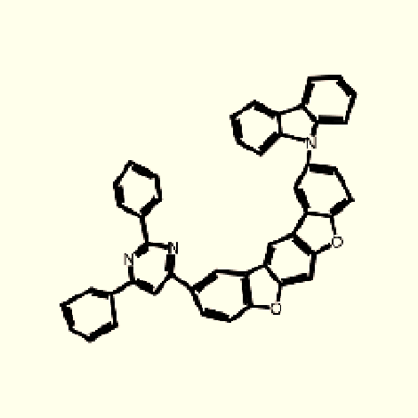 c1ccc(-c2cc(-c3ccc4oc5cc6oc7ccc(-n8c9ccccc9c9ccccc98)cc7c6cc5c4c3)nc(-c3ccccc3)n2)cc1